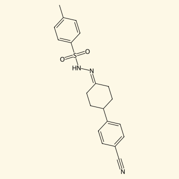 Cc1ccc(S(=O)(=O)NN=C2CCC(c3ccc(C#N)cc3)CC2)cc1